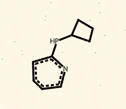 c1ccc(PC2CCC2)nc1